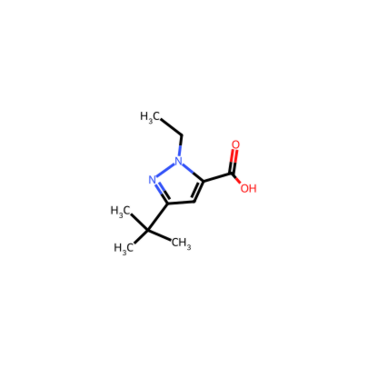 CCn1nc(C(C)(C)C)cc1C(=O)O